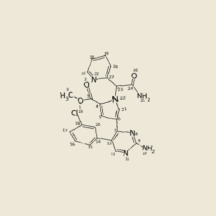 COC(=O)c1cc(-c2nc(N)ncc2-c2cccc(Cl)c2)cn1C(C(N)=O)c1ccccn1